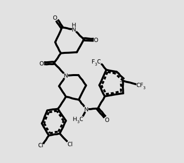 CN(C(=O)c1cc(C(F)(F)F)cc(C(F)(F)F)c1)C1CCN(C(=O)C2CC(=O)NC(=O)C2)CC1c1ccc(Cl)c(Cl)c1